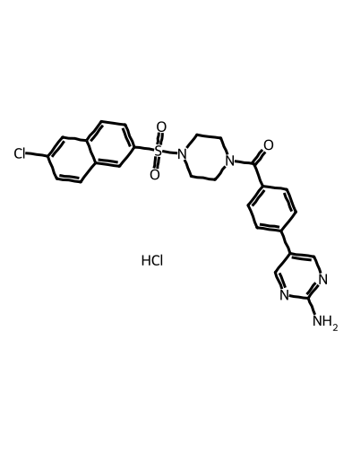 Cl.Nc1ncc(-c2ccc(C(=O)N3CCN(S(=O)(=O)c4ccc5cc(Cl)ccc5c4)CC3)cc2)cn1